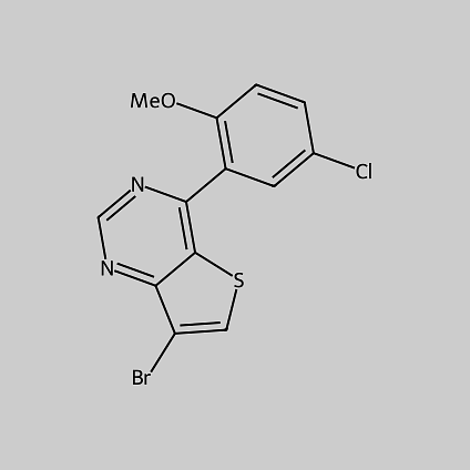 COc1ccc(Cl)cc1-c1ncnc2c(Br)csc12